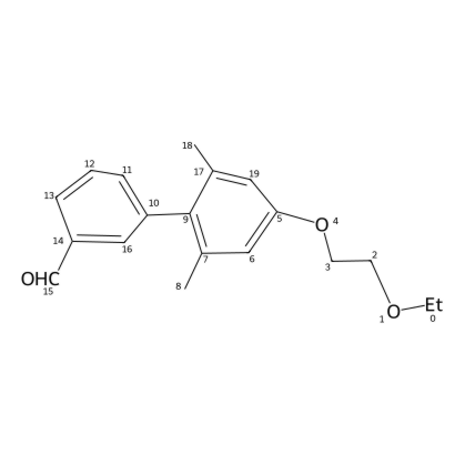 CCOCCOc1cc(C)c(-c2cccc(C=O)c2)c(C)c1